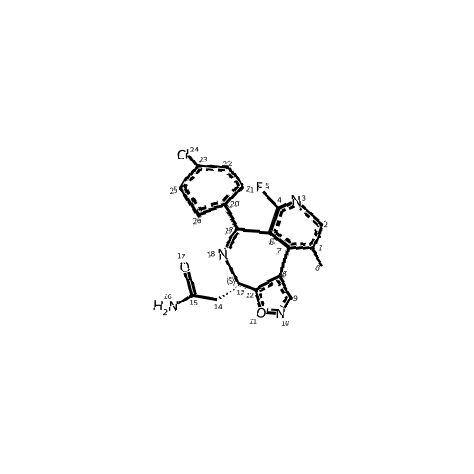 Cc1cnc(F)c2c1-c1cnoc1[C@H](CC(N)=O)N=C2c1ccc(Cl)cc1